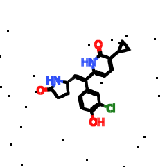 O=C1CC[C@H](/C=C(\c2ccc(O)c(Cl)c2)c2ccc(C3CC3)c(=O)[nH]2)N1